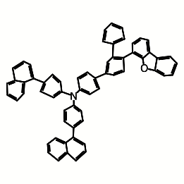 c1ccc(-c2cc(-c3ccc(N(c4ccc(-c5cccc6ccccc56)cc4)c4ccc(-c5cccc6ccccc56)cc4)cc3)ccc2-c2cccc3c2oc2ccccc23)cc1